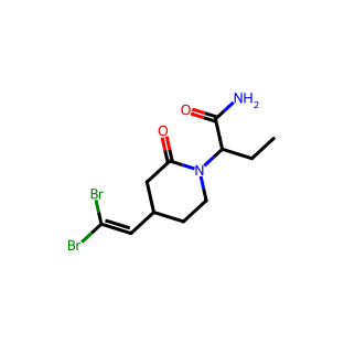 CCC(C(N)=O)N1CCC(C=C(Br)Br)CC1=O